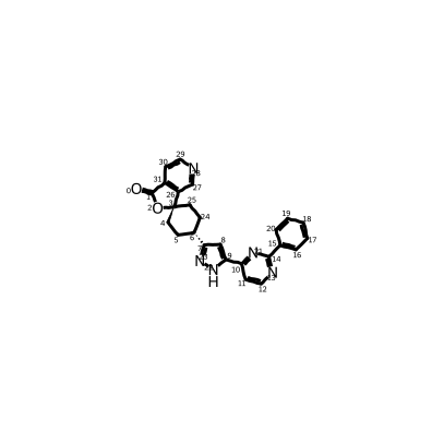 O=C1O[C@]2(CC[C@@H](c3cc(-c4ccnc(-c5ccccc5)n4)[nH]n3)CC2)c2cnccc21